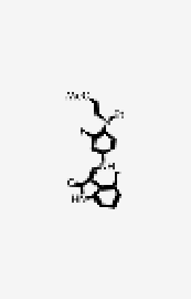 CCN(CCOC)c1ccc(N/C=C2/C(=O)Nc3cccc(F)c32)cc1F